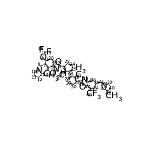 Cc1c(-c2nc3cc(CN4CCC[C@@H]4C(=O)O)c(OC(F)F)cc3o2)cccc1-c1cccc(-c2nc3cc(CN4CCC(C)C4)cc(C(F)(F)F)c3o2)c1C